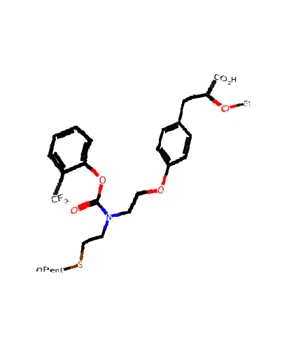 CCCCCSCCN(CCOc1ccc(CC(OCC)C(=O)O)cc1)C(=O)Oc1ccccc1C(F)(F)F